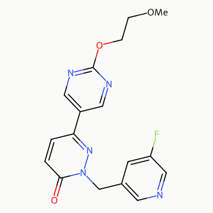 COCCOc1ncc(-c2ccc(=O)n(Cc3cncc(F)c3)n2)cn1